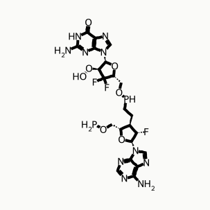 Nc1nc2c(ncn2[C@@H]2O[C@H](COPCC[C@H]3[C@H](F)[C@H](n4cnc5c(N)ncnc54)O[C@@H]3COP)C(F)(F)[C@H]2OO)c(=O)[nH]1